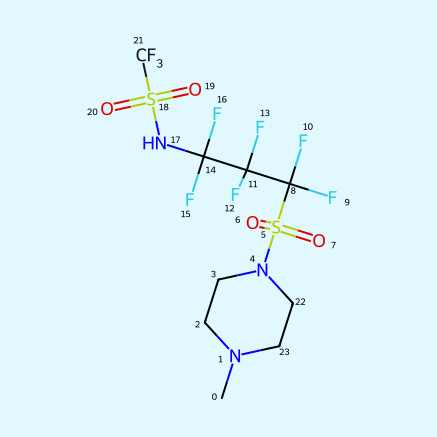 CN1CCN(S(=O)(=O)C(F)(F)C(F)(F)C(F)(F)NS(=O)(=O)C(F)(F)F)CC1